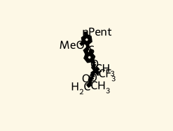 C=C(C)C(=O)OCC(C)(COc1ccc2cc(-c3ccc(CCCCC)cc3OC)sc2c1)CC(F)(F)F